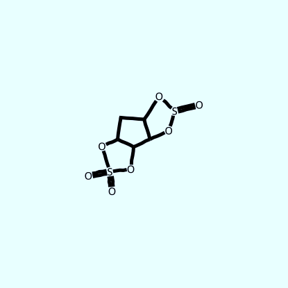 O=S1OC2CC3OS(=O)(=O)OC3C2O1